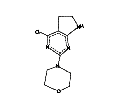 Clc1nc(N2CCOCC2)nc2c1CCN2